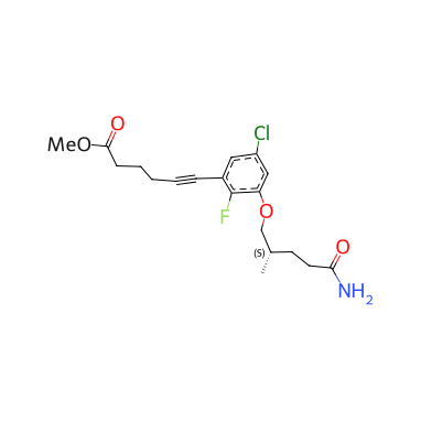 COC(=O)CCCC#Cc1cc(Cl)cc(OC[C@@H](C)CCC(N)=O)c1F